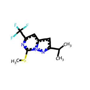 CSc1nc(C(F)(F)F)cc2cc(C(C)C)nn12